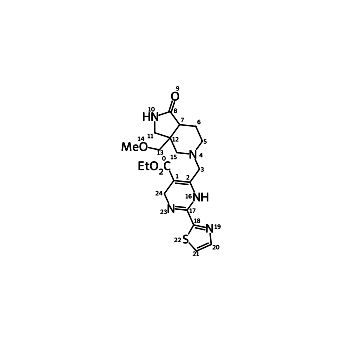 CCOC(=O)C1=C(CN2CCC3C(=O)NCC3(COC)C2)NC(c2nccs2)=NC1